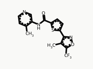 Cc1ccncc1NC(=O)c1ccc(-c2noc(C(F)(F)F)c2C)s1